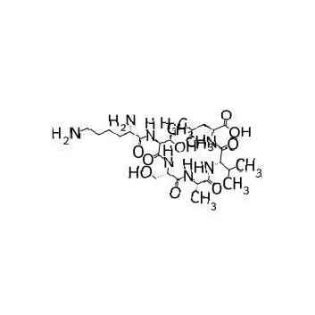 CC(C)C[C@H](NC(=O)[C@@H](NC(=O)[C@H](C)NC(=O)[C@H](CO)NC(=O)[C@@H](NC(=O)[C@@H](N)CCCCN)[C@@H](C)O)C(C)C)C(=O)O